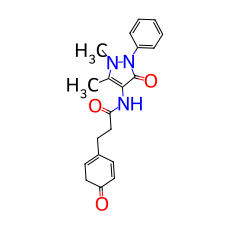 Cc1c(NC(=O)CCC2=CCC(=O)C=C2)c(=O)n(-c2ccccc2)n1C